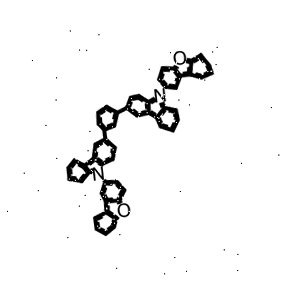 c1cc(-c2ccc3c(c2)c2ccccc2n3-c2ccc3oc4ccccc4c3c2)cc(-c2ccc3c(c2)c2ccccc2n3-c2ccc3oc4ccccc4c3c2)c1